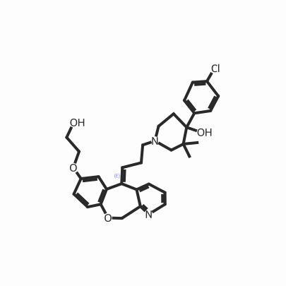 CC1(C)CN(CC/C=C2/c3cc(OCCO)ccc3OCc3ncccc32)CCC1(O)c1ccc(Cl)cc1